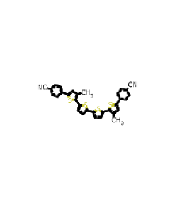 Cc1cc(-c2ccc(C#N)cc2)sc1-c1ccc(-c2ccc(-c3sc(-c4ccc(C#N)cc4)cc3C)s2)s1